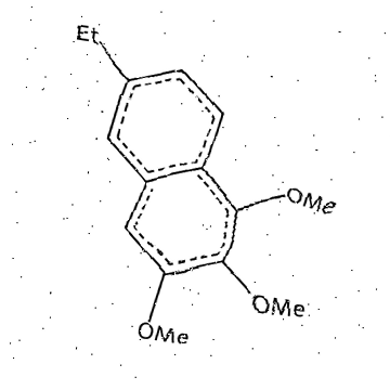 [CH2]Cc1ccc2c(OC)c(OC)c(OC)cc2c1